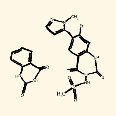 CCc1cc2[nH]c(=O)n(NS(C)(=O)=O)c(=O)c2cc1-c1ccnn1C.O=c1[nH]c(=O)c2ccccc2[nH]1